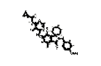 COc1ccc(CN2C(=O)c3c(C)cc(Nc4ncnc(NC(=O)C5CC5)c4C)c(C(C)=O)c3C23CCCCC3)cc1